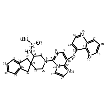 CC(C)(C)[S@@+]([O-])NC1CN(c2ncc(Sc3ccnc4cccnc34)c3nccn23)CCC12Cc1ccccc1C2